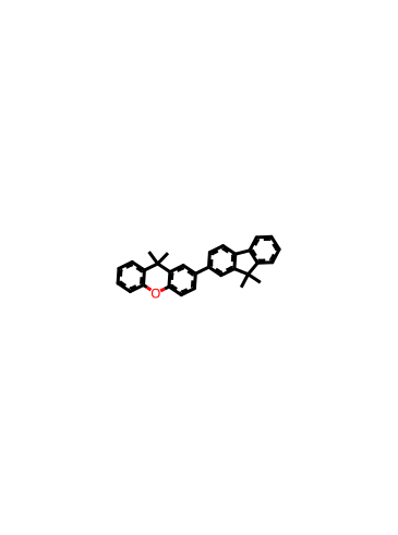 CC1(C)c2ccccc2Oc2ccc(-c3ccc4c(c3)C(C)(C)c3ccccc3-4)cc21